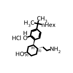 CCCCCCC(C)(C)c1ccc([C@@H]2C[C@H](O)CC[C@H]2CCN)c(O)c1.Cl